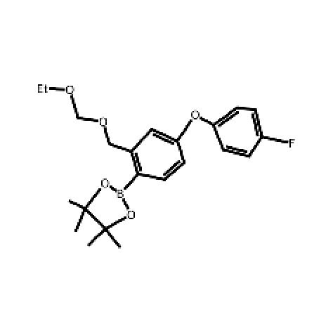 CCOCOCc1cc(Oc2ccc(F)cc2)ccc1B1OC(C)(C)C(C)(C)O1